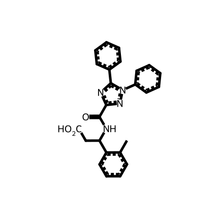 Cc1ccccc1C(CC(=O)O)NC(=O)c1nc(-c2ccccc2)n(-c2ccccc2)n1